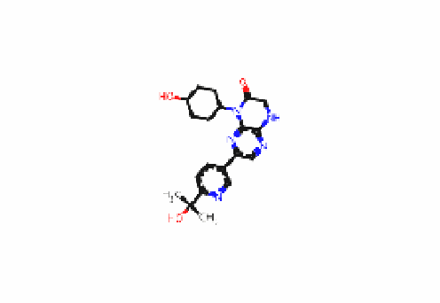 CC(C)(O)c1ccc(-c2cnc3c(n2)N(C2CCC(O)CC2)C(=O)CN3)cn1